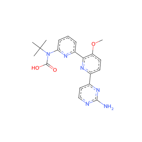 COc1ccc(-c2ccnc(N)n2)nc1-c1cccc(N(C(=O)O)C(C)(C)C)n1